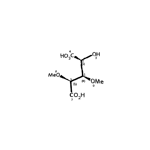 CO[C@H]([C@H](O)C(=O)O)[C@H](OC)C(=O)O